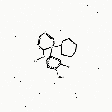 CCOC1N=CN=C[N+]1(c1ccc(OC)c(F)c1)C1CCCCCC1